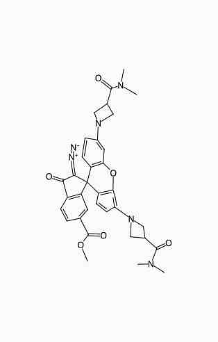 COC(=O)c1ccc2c(c1)C1(C(=[N+]=[N-])C2=O)c2ccc(N3CC(C(=O)N(C)C)C3)cc2Oc2cc(N3CC(C(=O)N(C)C)C3)ccc21